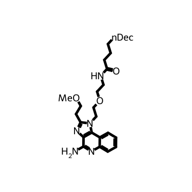 CCCCCCCCCCCCCC(=O)NCCOCCn1c(CCOC)nc2c(N)nc3ccccc3c21